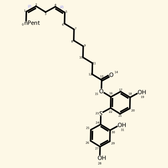 CCCCC/C=C\C/C=C\CCCCCCCC(=O)Oc1cc(O)ccc1Sc1ccc(O)cc1O